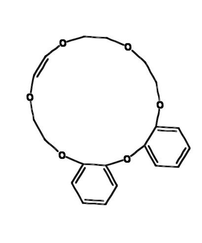 C1=C\OCCOc2ccccc2Oc2ccccc2OCCOCCO/1